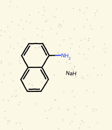 Nc1cccc2ccccc12.[NaH]